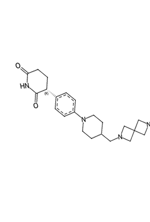 O=C1CC[C@H](c2ccc(N3CCC(CN4CC5(CNC5)C4)CC3)cc2)C(=O)N1